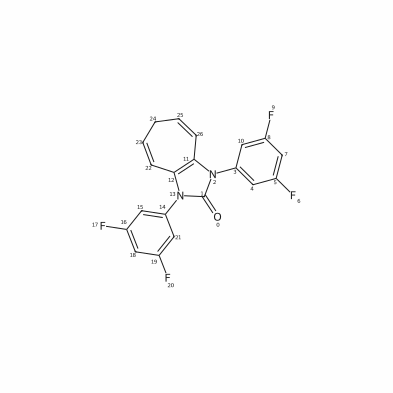 O=c1n(-c2cc(F)cc(F)c2)c2c(n1-c1cc(F)cc(F)c1)C=CCC=C2